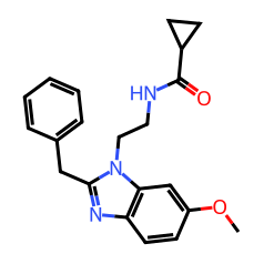 COc1ccc2nc(Cc3ccccc3)n(CCNC(=O)C3CC3)c2c1